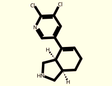 Clc1cc(C2=CCC[C@H]3CNC[C@@H]23)cnc1Cl